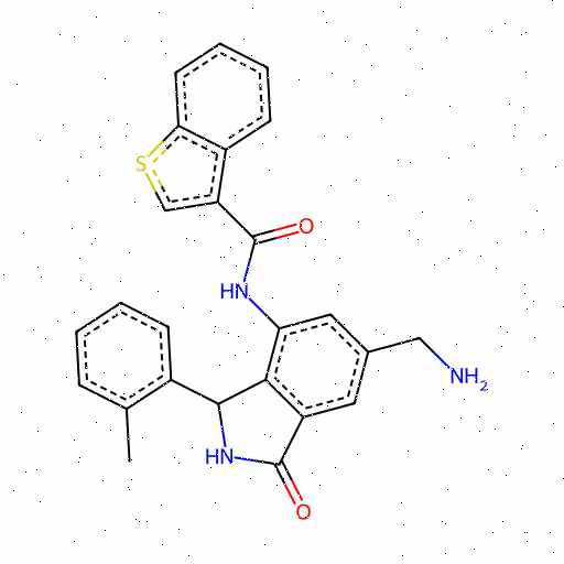 Cc1ccccc1C1NC(=O)c2cc(CN)cc(NC(=O)c3csc4ccccc34)c21